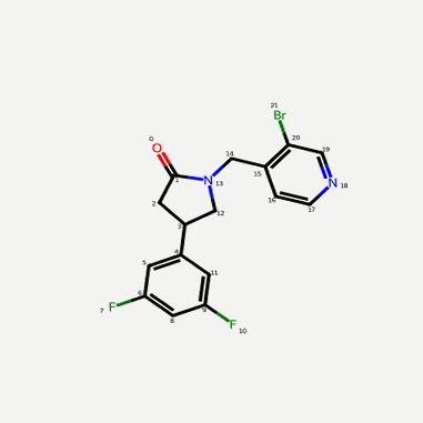 O=C1CC(c2cc(F)cc(F)c2)CN1Cc1ccncc1Br